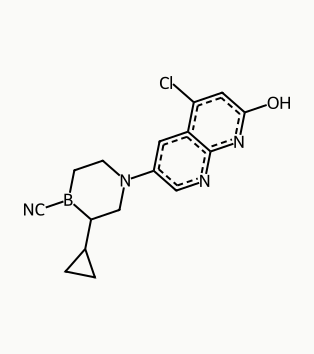 N#CB1CCN(c2cnc3nc(O)cc(Cl)c3c2)CC1C1CC1